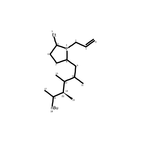 C=CCP1C(CC)CCC1CC(C)C(C)[C@@H](C)C(C)CCCC